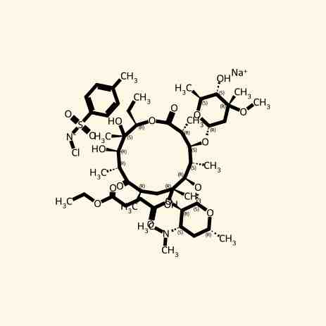 CCOC(=O)CCC(=O)O[C@H]1[C@H](O[C@@H]2[C@@H](C)[C@H](O[C@H]3C[C@@](C)(OC)[C@@H](O)[C@H](C)O3)[C@@H](C)C(=O)O[C@H](CC)[C@@](C)(O)[C@H](O)[C@@H](C)C(=O)[C@H](C)C[C@@]2(C)O)O[C@H](C)C[C@@H]1N(C)C.Cc1ccc(S(=O)(=O)[N-]Cl)cc1.[Na+]